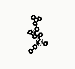 c1ccc(-c2ccc(-c3nc(-c4ccccc4)nc(-n4c5ccccc5c5c4ccc4c6ccccc6n(-c6cccc(-c7ccc8c9ccccc9c9ccccc9c8c7)c6)c45)n3)cc2)cc1